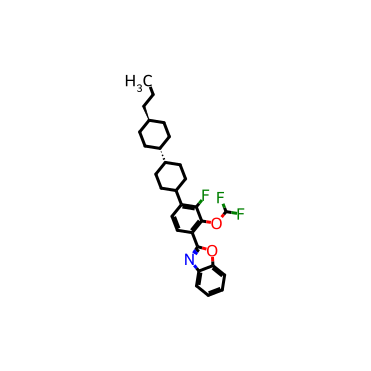 CCC[C@H]1CC[C@H](C2CCC(c3ccc(-c4nc5ccccc5o4)c(OC(F)F)c3F)CC2)CC1